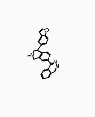 CN1Cc2cc(-c3nncc4ccccc34)ccc2C(c2ccc3occc3c2)C1